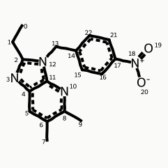 CCc1nc2cc(C)c(C)nc2n1Cc1ccc([N+](=O)[O-])cc1